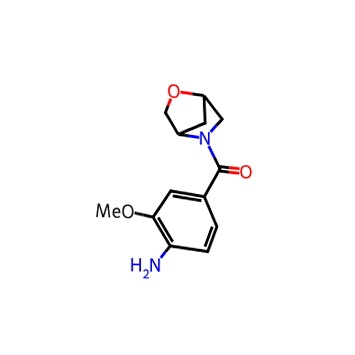 COc1cc(C(=O)N2CC3CC2CO3)ccc1N